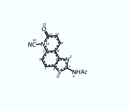 CC(=O)Nc1nc2c(ccc3c2ccc(=O)n3C#N)s1